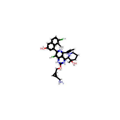 CC#Cc1nc(-c2cc(O)cc3ccc(F)c(CC)c23)c(F)c2nc(OCC3=C(CN)C3)nc(C3NCCCC3(C)O)c12